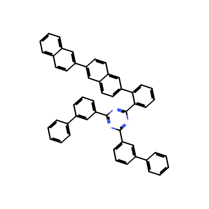 c1ccc(-c2cccc(-c3nc(-c4cccc(-c5ccccc5)c4)nc(-c4ccccc4-c4ccc5cc(-c6ccc7ccccc7c6)ccc5c4)n3)c2)cc1